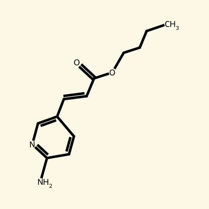 CCCCOC(=O)/C=C/c1ccc(N)nc1